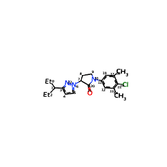 CCC(CC)c1ccn(C2CCN(c3cc(C)c(Cl)c(C)c3)C2=O)n1